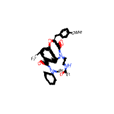 CCC(=O)NCCN1C(=O)[C@H](Cc2ccc(OC)cc2)Oc2cc(C(F)(F)F)c(C(=O)N(C(C)C)C3CCCCC3)cc21